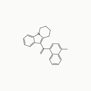 C=C(c1ccc(C)c2ccccc12)c1c2n(c3ccccc13)CCCC2